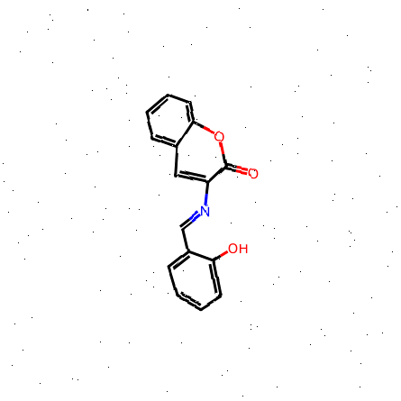 O=c1oc2ccccc2cc1N=Cc1ccccc1O